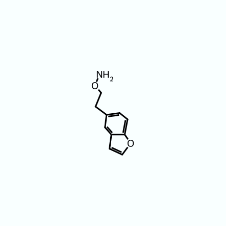 NOCCc1ccc2occc2c1